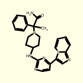 CC(C(N)=O)(c1ccccc1)N1CCC(Nc2nccc(-c3cnc4ccccn34)n2)CC1